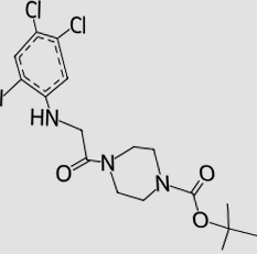 CC(C)(C)OC(=O)N1CCN(C(=O)CNc2cc(Cl)c(Cl)cc2I)CC1